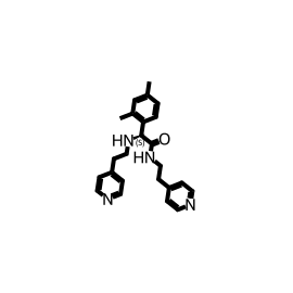 Cc1ccc([C@H](NCCc2ccncc2)C(=O)NCCc2ccncc2)c(C)c1